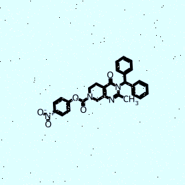 Cc1nc2c(c(=O)n1C(c1ccccc1)c1ccccc1)CCN(C(=O)Oc1ccc([N+](=O)[O-])cc1)C2